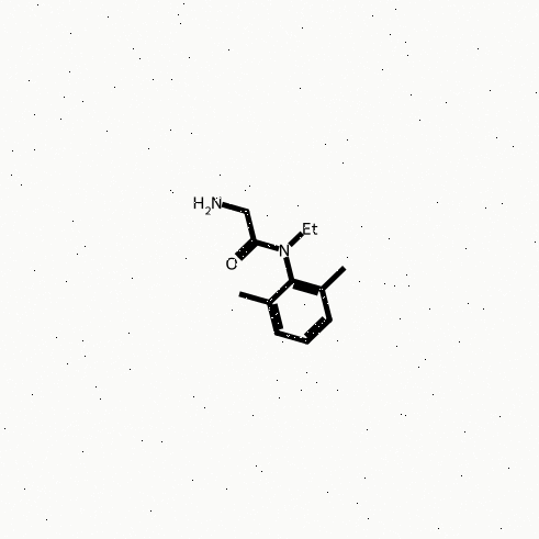 CCN(C(=O)CN)c1c(C)cccc1C